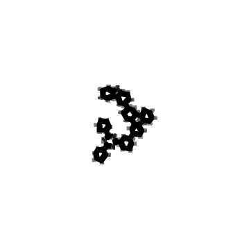 c1ccc(-c2nc(-c3ccccc3)nc(-c3cccc(-c4ccc5c6ccccc6c6cc(-c7ccc8sc9ccccc9c8c7)ccc6c5c4)c3)n2)cc1